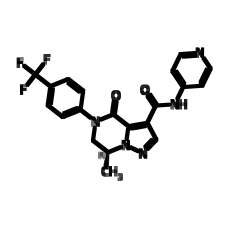 C[C@H]1CN(c2ccc(C(F)(F)F)cc2)C(=O)c2c(C(=O)Nc3ccncc3)cnn21